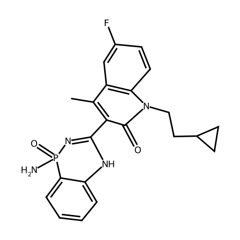 Cc1c(C2=NP(N)(=O)c3ccccc3N2)c(=O)n(CCC2CC2)c2ccc(F)cc12